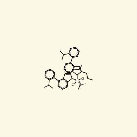 CCCC1=Cc2c(-c3ccccc3C(C)C)cccc2[CH]1[Hf]([Cl])([Cl])([CH]1C(CCC)=Cc2c(-c3ccccc3C(C)C)cccc21)[SiH](C)C